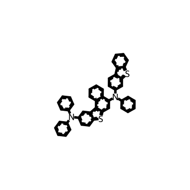 c1ccc(N(c2ccccc2)c2ccc3sc4cc(N(c5ccccc5)c5ccc6c(c5)sc5ccccc56)c5ccccc5c4c3c2)cc1